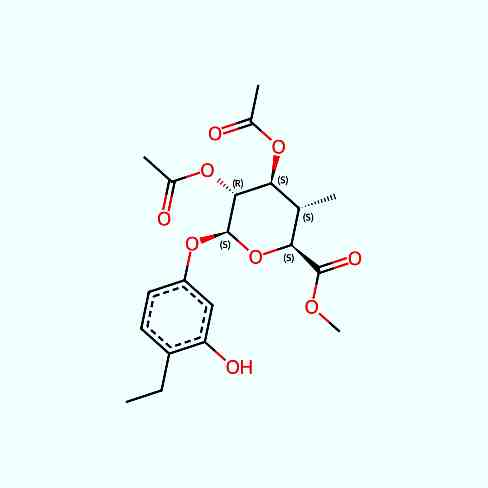 CCc1ccc(O[C@@H]2O[C@H](C(=O)OC)[C@@H](C)[C@H](OC(C)=O)[C@H]2OC(C)=O)cc1O